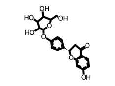 O=C1C[C@@H](c2ccc(OC3OC(CO)C(O)C(O)C3O)cc2)Oc2cc(O)ccc21